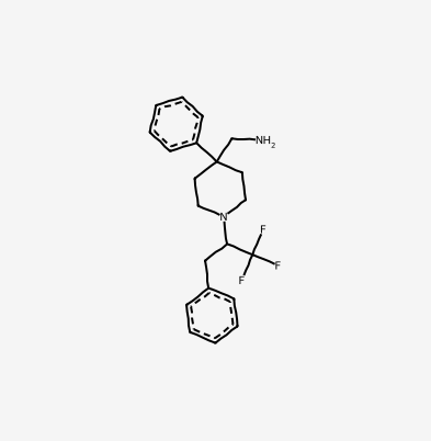 NCC1(c2ccccc2)CCN(C(Cc2ccccc2)C(F)(F)F)CC1